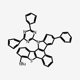 CC(C)(C)c1cccc2c1sc1c3ccccc3c3c4cc(-c5ccccc5)ccc4n(-c4nc(-c5ccccc5)nc(-c5ccccc5)n4)c3c21